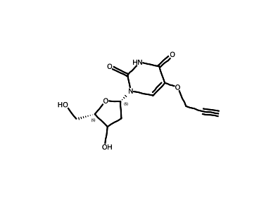 C#CCOc1cn([C@@H]2CC(O)[C@H](CO)O2)c(=O)[nH]c1=O